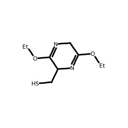 CCOC1=NC(CS)C(OCC)=NC1